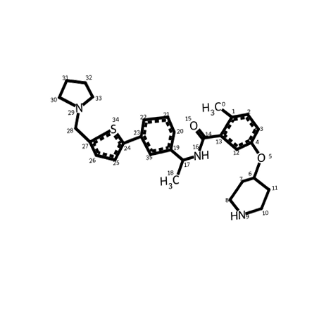 Cc1ccc(OC2CCNCC2)cc1C(=O)NC(C)c1cccc(-c2ccc(CN3CCCC3)s2)c1